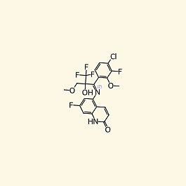 COCC(O)(/C(=N\c1cc(F)cc2[nH]c(=O)ccc12)c1ccc(Cl)c(F)c1OC)C(F)(F)F